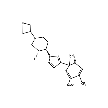 CNC1=NC(N)(c2cnn([C@@H]3CCN(C4COC4)C[C@H]3F)c2)NC=C1C(F)(F)F